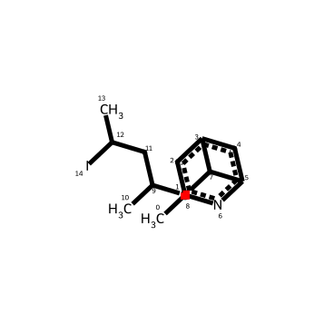 Cc1cc2cc(n1)C2OC(C)CC(C)I